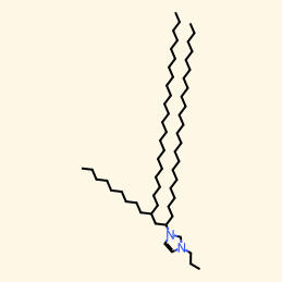 CCCCCCCCCCCCCCCCCCCCCCC(CCCCCCCCC)CC(CCCCCCCCCCCCCCCCCCCCCC)N1C=CN(CCC)C1